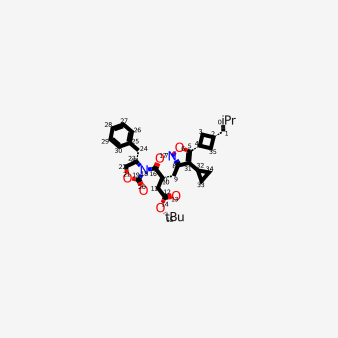 CC(C)C[C@H]1C[C@@H](c2onc(C[C@H](CC(=O)OC(C)(C)C)C(=O)N3C(=O)OC[C@@H]3Cc3ccccc3)c2C2CC2)C1